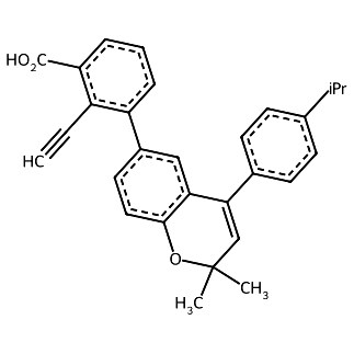 C#Cc1c(C(=O)O)cccc1-c1ccc2c(c1)C(c1ccc(C(C)C)cc1)=CC(C)(C)O2